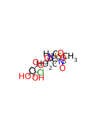 C[C@@H]1CC(=O)N1[C@@H](C(=O)O)[C@](C)(c1cc(CCOC(=O)c2ccc(O)c(O)c2Cl)on1)[SH](=O)=O